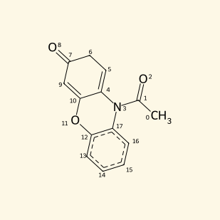 CC(=O)N1C2=CCC(=O)C=C2Oc2ccccc21